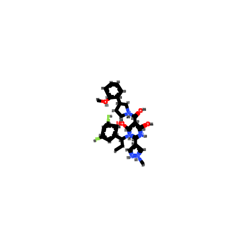 CCC(c1cc(F)cc(F)c1)n1c(-c2cnn(C)c2)nc(=O)c(C(=O)N2CCC(c3ccccc3OC)C2)c1O